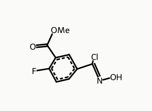 COC(=O)c1cc(/C(Cl)=N/O)ccc1F